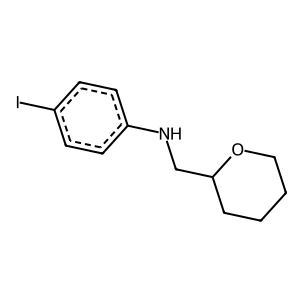 Ic1ccc(NCC2CCCCO2)cc1